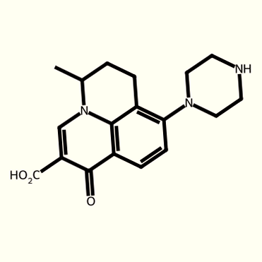 CC1CCc2c(N3CCNCC3)ccc3c(=O)c(C(=O)O)cn1c23